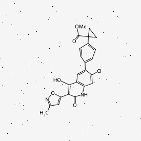 COC(=O)C1(c2ccc(-c3cc4c(O)c(-c5cc(C)no5)c(=O)[nH]c4cc3Cl)cc2)CC1